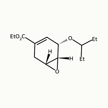 CCOC(=O)C1=C[C@H](OC(CC)CC)[C@@H]2O[C@@H]2C1